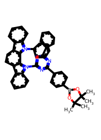 CC1(C)OB(c2ccc(-c3nc(-c4ccccc4)nc(-n4c5ccccc5c5ccc6c7ccccc7n(-c7ccccc7)c6c54)n3)cc2)OC1(C)C